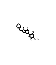 CCc1cc(C=O)c(=O)[nH]c1-c1cc(F)c2c(c1)cc(CN1CCCCC1)n2C